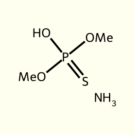 COP(O)(=S)OC.N